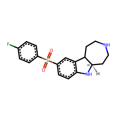 O=S(=O)(c1ccc(F)cc1)c1ccc2c(c1)C1CCNCC[C@H]1N2